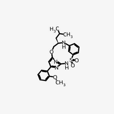 COc1ccccc1-c1cc2nc(n1)NS(=O)(=O)c1cccc(c1)N[C@H](CC(C)C)CO2